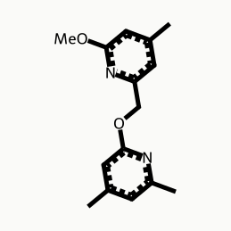 COc1cc(C)cc(COc2cc(C)cc(C)n2)n1